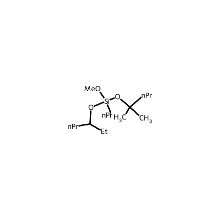 CCCC(CC)O[Si](CCC)(OC)OC(C)(C)CCC